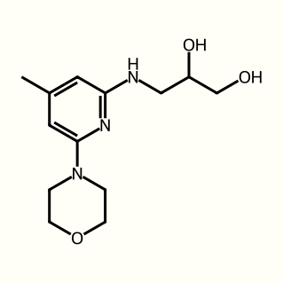 Cc1cc(NCC(O)CO)nc(N2CCOCC2)c1